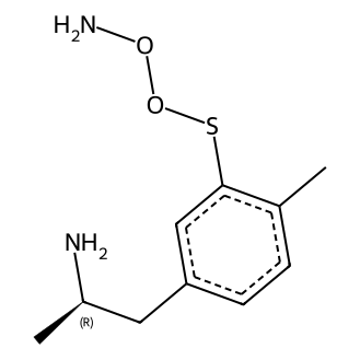 Cc1ccc(C[C@@H](C)N)cc1SOON